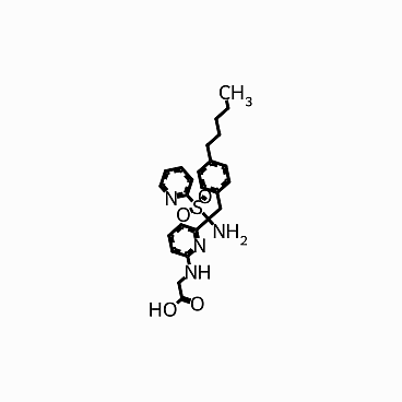 CCCCCc1ccc(CC(N)(c2cccc(NCC(=O)O)n2)S(=O)(=O)c2ccccn2)cc1